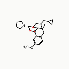 COc1ccc2c(c1)[C@]13CCN(CC4CC4)[C@H](C2)[C@]12CC[C@@](N1CCCC1)(CO2)C3